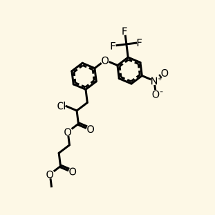 COC(=O)CCOC(=O)C(Cl)Cc1cccc(Oc2ccc([N+](=O)[O-])cc2C(F)(F)F)c1